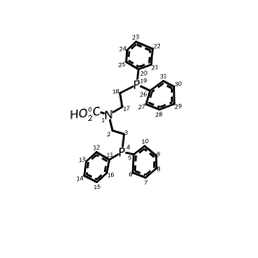 O=C(O)N(CCP(c1ccccc1)c1ccccc1)CCP(c1ccccc1)c1ccccc1